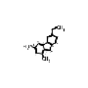 CCc1ccc2c(c1)-c1cc(C)cc(C)c1C2